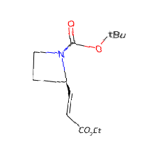 CCOC(=O)/C=C/[C@H]1CCN1C(=O)OC(C)(C)C